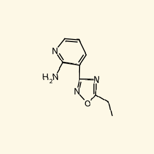 CCc1nc(-c2cccnc2N)no1